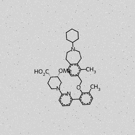 CO[C@@H]1CN(c2cccc(-c3cccc(C)c3OCc3ccc4c(c3C)CCN(C3CCCCC3)CC4)n2)CC[C@@H]1C(=O)O